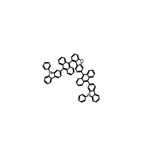 c1ccc(-n2c3ccccc3c3ccc(-c4c5ccccc5c(-c5ccc6c(c5)oc5cccc(-c7c8ccccc8c(-c8ccc9c%10ccccc%10n(-c%10ccccc%10)c9c8)c8ccccc78)c56)c5ccccc45)cc32)cc1